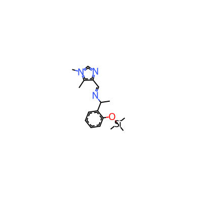 Cc1c(C=NC(C)c2ccccc2O[Si](C)(C)C)ncn1C